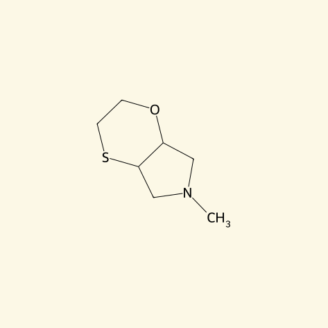 CN1CC2OCCSC2C1